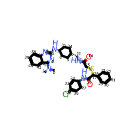 CN(C)c1nc(N[C@H]2CC[C@@H](CNC(=O)CSC(C(=O)Nc3ccc(Cl)cc3)c3ccccc3)CC2)nc2ccccc12